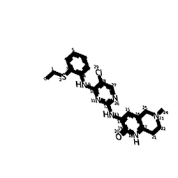 CCSc1ccccc1Nc1nc(Nc2cc3c([nH]c2=O)CCN(C)C3)ncc1Cl